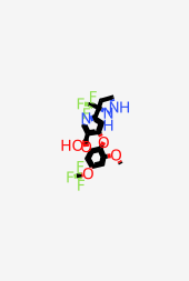 COc1cc(OC(F)(F)F)ccc1Oc1cc(C2(C(F)(F)F)CCNN2)ncc1C(=O)O